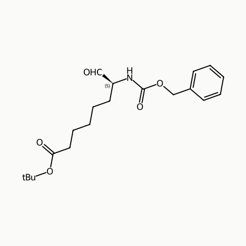 CC(C)(C)OC(=O)CCCCC[C@@H](C=O)NC(=O)OCc1ccccc1